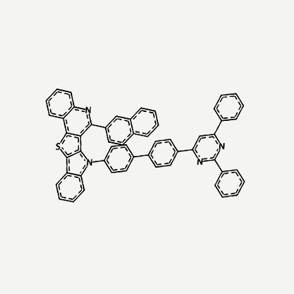 c1ccc(-c2cc(-c3ccc(-c4ccc(-n5c6ccccc6c6sc7c8ccccc8nc(-c8ccc9ccccc9c8)c7c65)cc4)cc3)nc(-c3ccccc3)n2)cc1